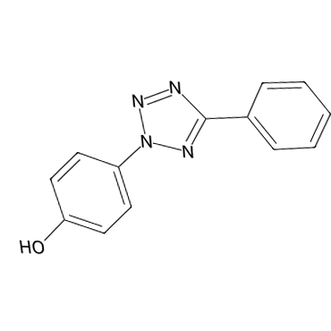 Oc1ccc(-n2nnc(-c3ccccc3)n2)cc1